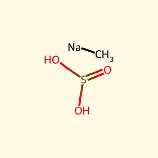 O=S(O)O.[CH3][Na]